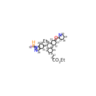 CCOC(=O)/C=C/c1ccc(/C(=C(/CC)c2cccc(Oc3ccccn3)c2)c2ccc3c(cnn3PI)c2)cc1